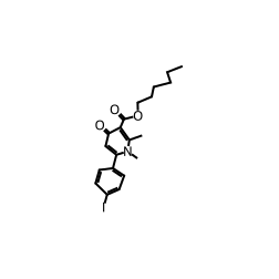 CCCCCCOC(=O)c1c(C)n(C)c(-c2ccc(I)cc2)cc1=O